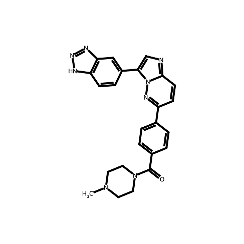 CN1CCN(C(=O)c2ccc(-c3ccc4ncc(-c5ccc6[nH]nnc6c5)n4n3)cc2)CC1